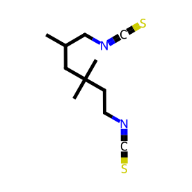 CC(CN=C=S)CC(C)(C)CCN=C=S